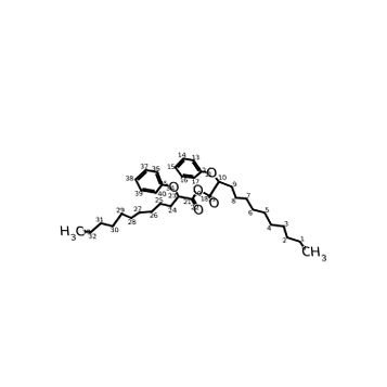 CCCCCCCCCCC(Oc1ccccc1)C(=O)OC(=O)C(CCCCCCCCCC)Oc1ccccc1